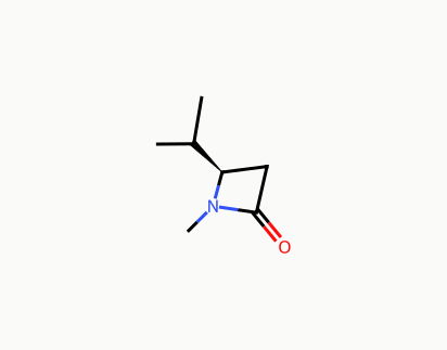 CC(C)[C@H]1CC(=O)N1C